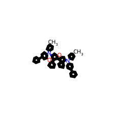 Cc1ccc(N(c2ccc(-c3ccccc3)cc2)c2cc3oc4cc(N(c5ccc(C)cc5)c5ccc(-c6ccccc6)cc5)c5oc6ccccc6c5c4c3c3ccccc23)cc1